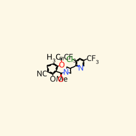 COc1c(C#N)ccc(O[C@H](C)C(F)(F)F)c1C(=O)N1CC(c2ncc(C(F)(F)F)cc2Cl)C1